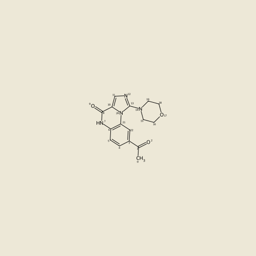 CC(=O)c1ccc2[nH]c(=O)c3cnc(N4CCOCC4)n3c2c1